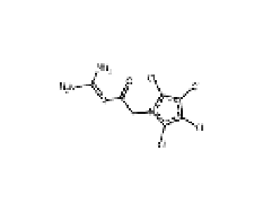 NC(N)=NC(=O)Cn1c(Cl)c(Cl)c(Cl)c1Cl